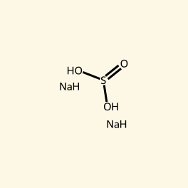 O=S(O)O.[NaH].[NaH]